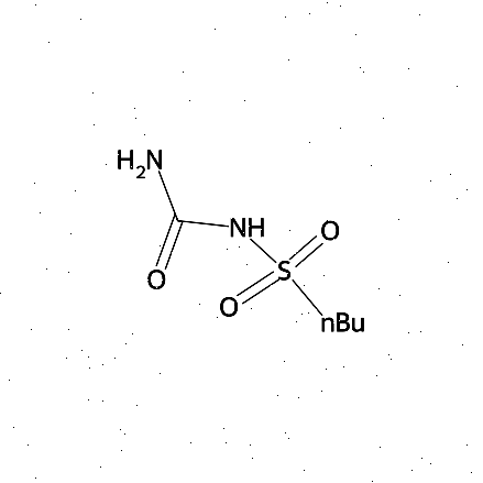 CCCCS(=O)(=O)NC(N)=O